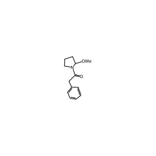 COC1CCCN1C(=O)Cc1ccccc1